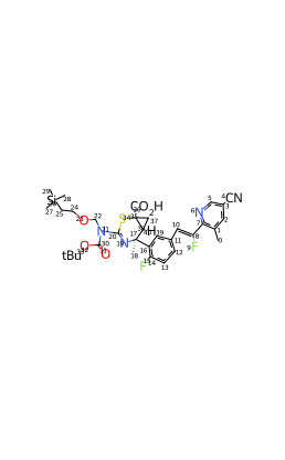 Cc1cc(C#N)cnc1/C(F)=C/c1ccc(F)c([C@@]2(C)N=C(N(COCC[Si](C)(C)C)C(=O)OC(C)(C)C)S[C@@]3(C(=O)O)C[C@H]32)c1